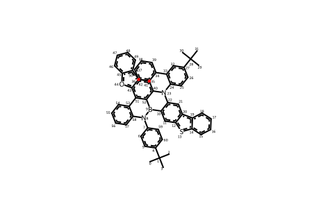 CC(C)(C)c1ccc(N2B3c4cc5sc6ccccc6c5cc4N(c4ccc(C(C)(C)C)cc4-c4ccccc4)c4cc5c(oc6ccccc65)c(c43)-c3ccccc32)cc1